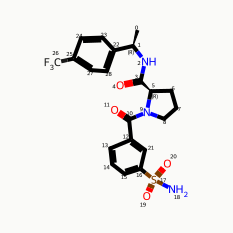 C[C@@H](NC(=O)[C@H]1CCCN1C(=O)c1cccc(S(N)(=O)=O)c1)c1ccc(C(F)(F)F)cc1